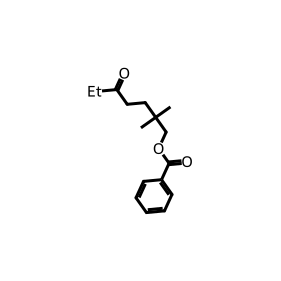 CCC(=O)CCC(C)(C)COC(=O)c1ccccc1